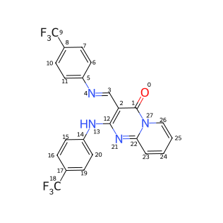 O=c1c(C=Nc2ccc(C(F)(F)F)cc2)c(Nc2ccc(C(F)(F)F)cc2)nc2ccccn12